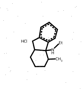 CCNC12c3ccccc3CC1CCCC2C.Cl